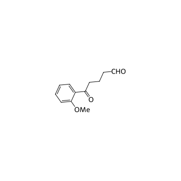 COc1ccccc1C(=O)CCCC=O